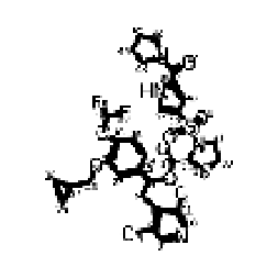 O=C(OC(Cc1c(Cl)cncc1Cl)c1ccc(OC(F)F)c(OCC2CC2)c1)[C@@H]1SCCN1S(=O)(=O)c1c[nH]c(C(=O)N2CCCC2)c1